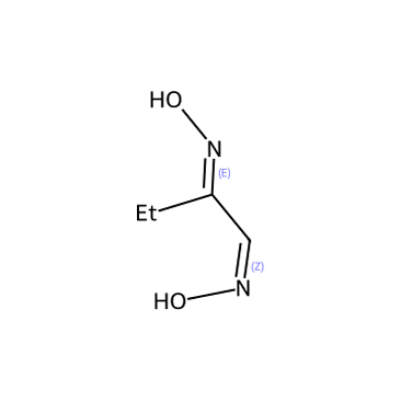 CCC(/C=N\O)=N\O